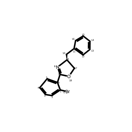 Brc1ccccc1C1=N[C@@H](Cc2ccccc2)CO1